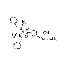 CC[C@H](O)Cn1ccc(S(=O)(=O)N(B(C)Cc2ccccc2)B(C)Cc2ccccc2)n1